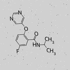 CC(C)NC(=O)c1cc(F)ccc1Oc1cncnc1